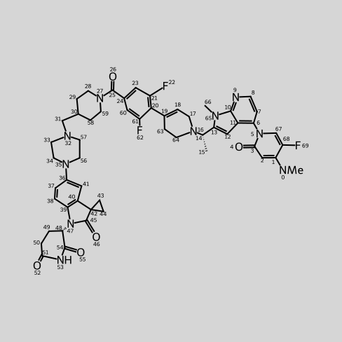 CNc1cc(=O)n(-c2ccnc3c2cc([C@H](C)N2CC=C(c4c(F)cc(C(=O)N5CCC(CN6CCN(c7ccc8c(c7)C7(CC7)C(=O)N8[C@H]7CCC(=O)NC7=O)CC6)CC5)cc4F)CC2)n3C)cc1F